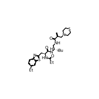 C=C(CN1CCSCC1)C(=O)NC[C@@H](NC(=O)[C@H](Cc1nc2ccc(CC)cc2s1)NC(=O)CC)C(C)CC